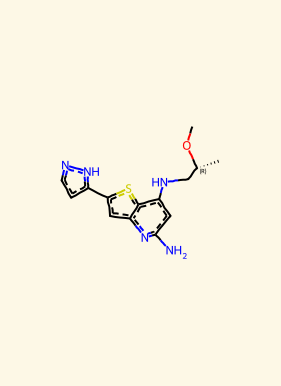 CO[C@H](C)CNc1cc(N)nc2cc(-c3ccn[nH]3)sc12